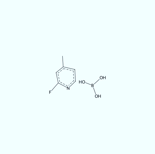 Cc1ccnc(F)c1.OB(O)O